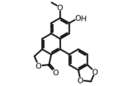 COc1cc2cc3c(c(-c4ccc5c(c4)OCO5)c2cc1O)C(=O)OC3